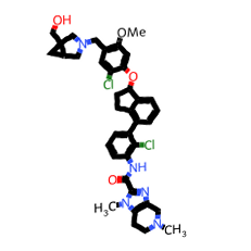 COc1cc(OC2CCc3c(-c4cccc(NC(=O)c5nc6c(n5C)CCN(C)C6)c4Cl)cccc32)c(Cl)cc1CN1CC2CC2(CO)C1